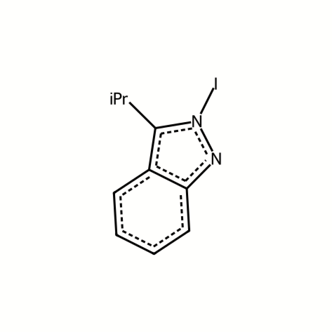 CC(C)c1c2ccccc2nn1I